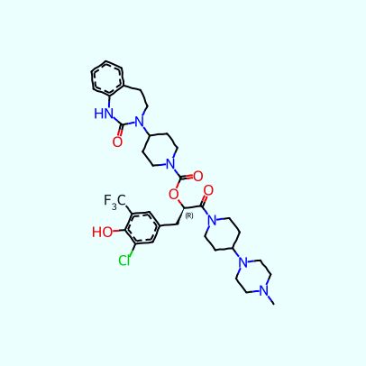 CN1CCN(C2CCN(C(=O)[C@@H](Cc3cc(Cl)c(O)c(C(F)(F)F)c3)OC(=O)N3CCC(N4CCc5ccccc5NC4=O)CC3)CC2)CC1